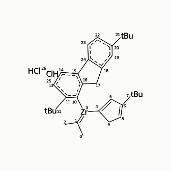 C[C](C)=[Zr]([C]1=CC(C(C)(C)C)=CC1)[c]1c(C(C)(C)C)ccc2c1Cc1cc(C(C)(C)C)ccc1-2.Cl.Cl